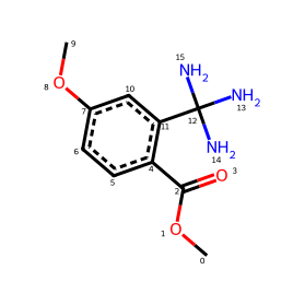 COC(=O)c1ccc(OC)cc1C(N)(N)N